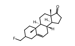 C[C@]12CCC(CF)CC1=CC[C@@H]1[C@@H]2CC[C@]2(C)C(=O)CC[C@@H]12